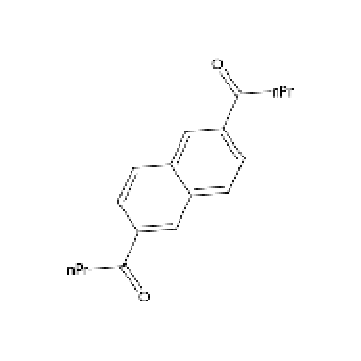 CCCC(=O)c1ccc2cc(C(=O)CCC)ccc2c1